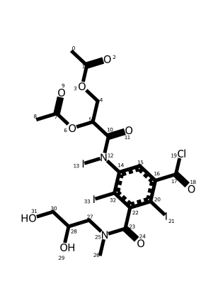 CC(=O)OCC(OC(C)=O)C(=O)N(I)c1cc(C(=O)Cl)c(I)c(C(=O)N(C)CC(O)CO)c1I